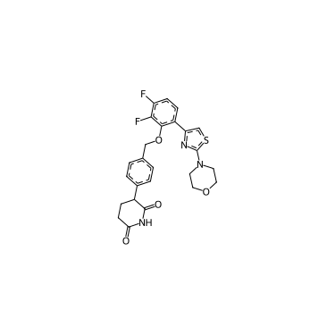 O=C1CCC(c2ccc(COc3c(-c4csc(N5CCOCC5)n4)ccc(F)c3F)cc2)C(=O)N1